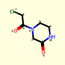 O=C1CN(C(=O)CCl)CCN1